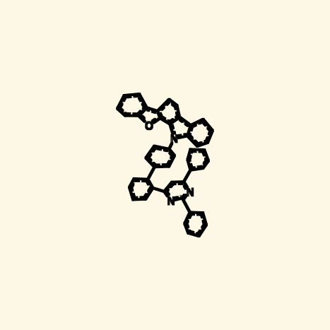 c1ccc(-c2cc(-c3ccccc3-c3ccc(-n4c5ccccc5c5ccc6c7ccccc7oc6c54)cc3)nc(-c3ccccc3)n2)cc1